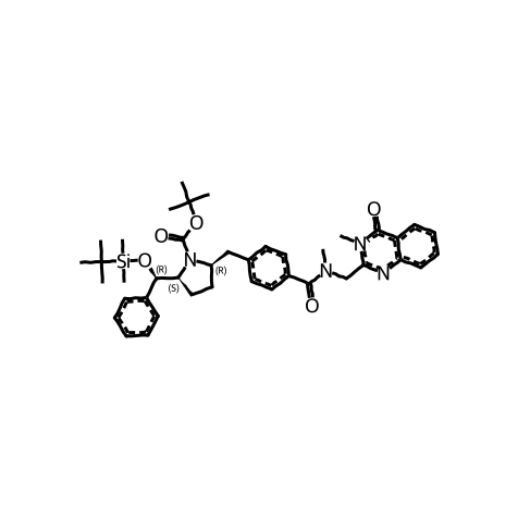 CN(Cc1nc2ccccc2c(=O)n1C)C(=O)c1ccc(C[C@H]2CC[C@@H]([C@H](O[Si](C)(C)C(C)(C)C)c3ccccc3)N2C(=O)OC(C)(C)C)cc1